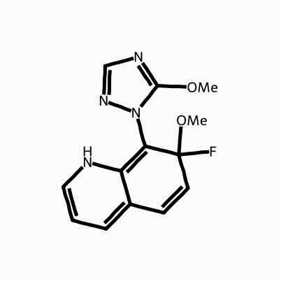 COc1ncnn1C1=C2NC=CC=C2C=CC1(F)OC